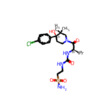 CC(C)[C@@H](NC(=O)NCCS(N)(=O)=O)C(=O)N1CC[C@](O)(c2ccc(Cl)cc2)C(C)(C)C1